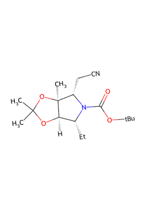 CC[C@@H]1[C@H]2OC(C)(C)O[C@@]2(C)[C@H](CC#N)N1C(=O)OC(C)(C)C